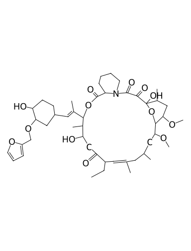 CCC1/C=C(\C)CC(C)CC(OC)C2OC(O)(C(=O)C(=O)N3CCCCC3C(=O)OC(C(C)=CC3CCC(O)C(OCc4ccco4)C3)C(C)C(O)CC1=O)C(C)CC2OC